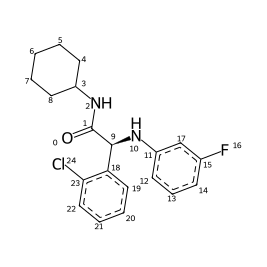 O=C(NC1CCCCC1)[C@@H](Nc1cccc(F)c1)c1ccccc1Cl